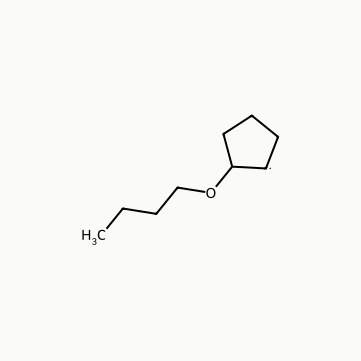 CCCCOC1[CH]CCC1